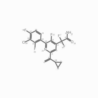 C=C(c1cc(C(F)(F)C(N)=O)c(F)c(-c2ccc(F)c(Cl)c2F)n1)C1CC1